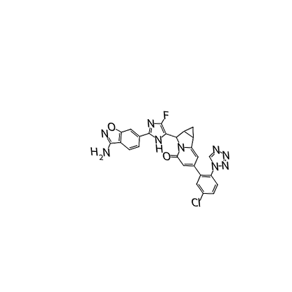 Nc1noc2cc(-c3nc(F)c(C4C5CC5c5cc(-c6cc(Cl)ccc6-n6cnnn6)cc(=O)n54)[nH]3)ccc12